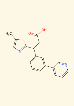 Cc1cnc(C(CC(=O)O)c2cccc(-c3cccnc3)c2)s1